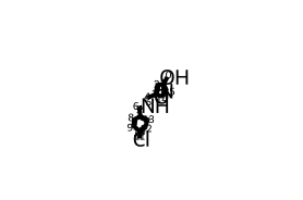 Oc1cc(CNCc2ccc(Cl)cc2)on1